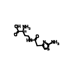 Nc1nc(CC(=O)NCC[C@H](N)C(=O)O)cs1